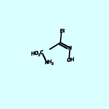 CCC(C)=NO.NC(=O)O